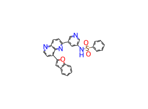 O=S(=O)(Nc1cncc(-c2ccc3nccc(-c4cc5ccccc5o4)c3n2)c1)c1ccccc1